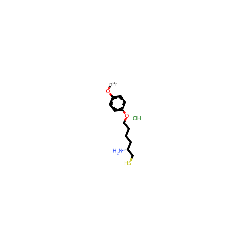 CCCOc1ccc(OCCCC[C@@H](N)CS)cc1.Cl